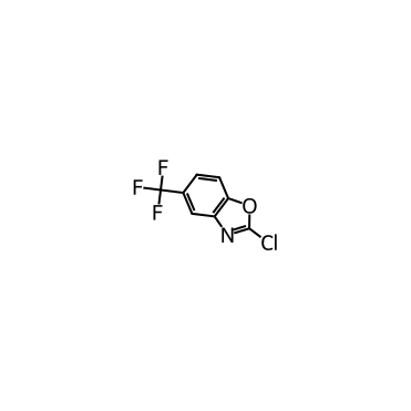 FC(F)(F)c1ccc2oc(Cl)nc2c1